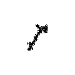 CN1C(=O)C[C@H](C(=O)NCCN(CC(=O)NCCOC2CCC(OCCCC(=O)NC3CCC(C(=O)OC(C)(C)C)CC3)CC2)CC(=O)OCc2ccccc2)[C@H]1c1cccnc1